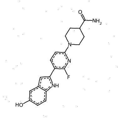 NC(=O)C1CCN(c2ccc(-c3cc4cc(O)ccc4[nH]3)c(F)n2)CC1